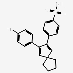 NS(=O)(=O)c1ccc(C2=CC3(C=C2c2ccc(Br)cc2)CCCC3)cc1